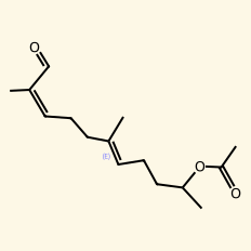 CC(=O)OC(C)CC/C=C(\C)CCC=C(C)C=O